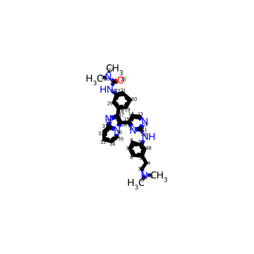 CN(C)CCc1cccc(Nc2nccc(-c3c(-c4cccc(NC(=O)N(C)C)c4)nc4ccccn34)n2)c1